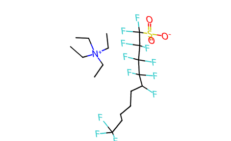 CC[N+](CC)(CC)CC.O=S(=O)([O-])C(F)(F)C(F)(F)C(F)(F)C(F)(F)C(F)CCCCC(F)(F)F